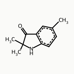 Cc1ccc2c(c1)C(=O)C(C)(C)N2